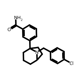 NC(=O)c1cccc(C23CCCC(CC2)N3Cc2ccc(Cl)cc2)c1